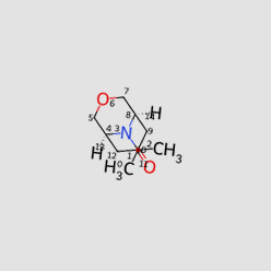 CC(C)N1[C@@H]2COC[C@H]1CC(=O)C2